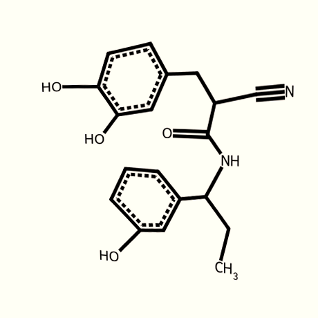 CCC(NC(=O)C(C#N)Cc1ccc(O)c(O)c1)c1cccc(O)c1